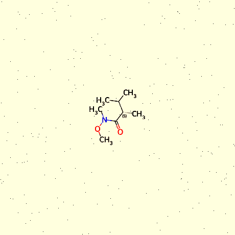 CON(C)C(=O)[C@@H](C)C(C)C